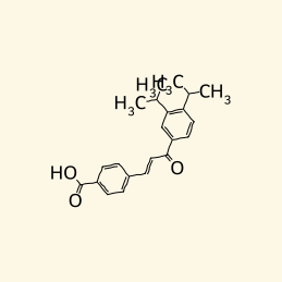 CC(C)c1ccc(C(=O)C=Cc2ccc(C(=O)O)cc2)cc1C(C)C